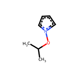 CC(C)On1cccc1